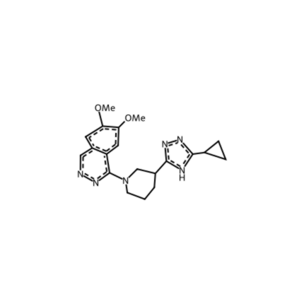 COc1cc2cnnc(N3CCCC(c4nnc(C5CC5)[nH]4)C3)c2cc1OC